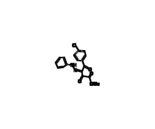 COC(=O)C(=O)C(=NNc1ccccc1)C(=O)c1ccc(Cl)cc1